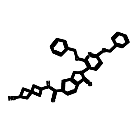 O=C(NC1CC2(CC(O)C2)C1)c1ccc2c(c1)CN(c1ccc(OCc3ccccc3)nc1OCc1ccccc1)C2=O